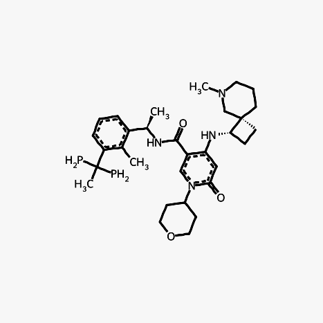 Cc1c([C@@H](C)NC(=O)c2cn(C3CCOCC3)c(=O)cc2N[C@H]2CC[C@]23CCCN(C)C3)cccc1C(C)(P)P